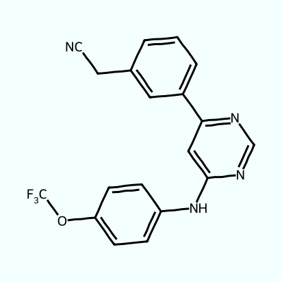 N#CCc1cccc(-c2cc(Nc3ccc(OC(F)(F)F)cc3)ncn2)c1